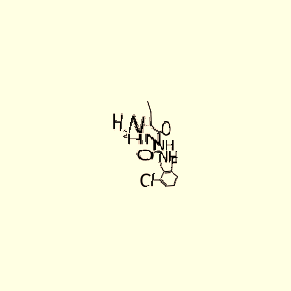 CC[C@@H](N)C(=O)NNC(=O)NCc1c(F)cccc1Cl